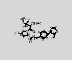 CC(=O)N[C@H](C(=O)N1C[C@H](O)C[C@H]1C(=O)NCc1ccc(-c2scnc2C)cc1)C(C)(C)SC(C)(C)C